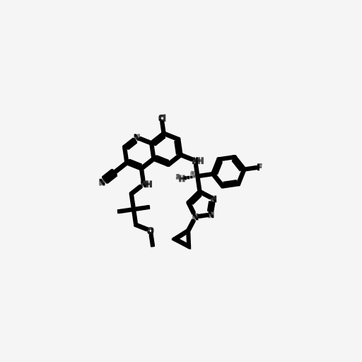 [2H][C@](Nc1cc(Cl)c2ncc(C#N)c(NCC(C)(C)COC)c2c1)(c1ccc(F)cc1)c1cn(C2CC2)nn1